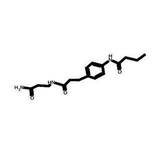 CCCC(=O)Nc1ccc(CCC(=O)NCCC(N)=O)cc1